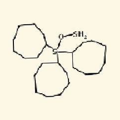 [SiH2]O[Si](C1CCCCCCC1)(C1CCCCCCC1)C1CCCCCCC1